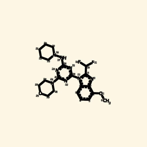 COc1cccc2c1nc(C(F)F)n2-c1nc(NN2CCCCC2)nc(N2CCOCC2)n1